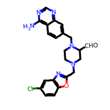 Nc1ncnc2cc(CN3CCN(Cc4nc5cc(Cl)ccc5o4)CC3C=O)ccc12